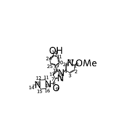 COc1ccc(-n2nc(C(=O)N3CCN(C)CC3)cc2-c2ccc(O)cc2)cn1